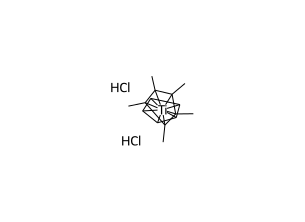 C[C]12[C]3(C)[C]4(C)[C]5(C)[C]1(C)[Ti]23451678[CH]2[CH]1[CH]6[CH]7[CH]28.Cl.Cl